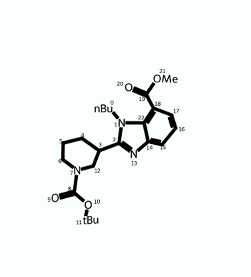 CCCCn1c(C2CCCN(C(=O)OC(C)(C)C)C2)nc2cccc(C(=O)OC)c21